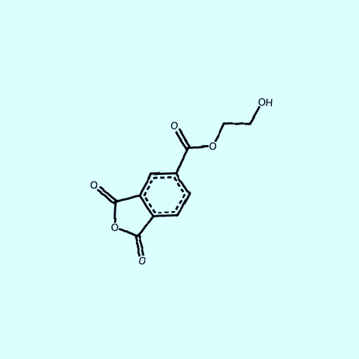 O=C(OCCO)c1ccc2c(c1)C(=O)OC2=O